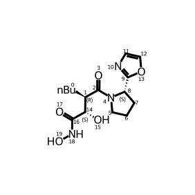 CCCC[C@@H](C(=O)N1CCC[C@H]1c1ncco1)[C@H](O)C(=O)NO